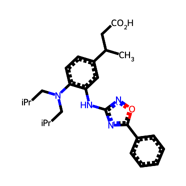 CC(C)CN(CC(C)C)c1ccc(C(C)CC(=O)O)cc1Nc1noc(-c2ccccc2)n1